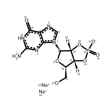 Nc1nc2c(ncn2[C@@H]2O[C@H](C[O-])[C@H]3OP(=O)([O-])O[C@H]32)c(=O)[nH]1.[Na+].[Na+]